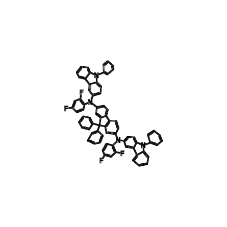 Fc1ccc(N(c2ccc3c(c2)C(c2ccccc2)(c2ccccc2)c2cc(N(c4ccc5c(c4)c4ccccc4n5-c4ccccc4)c4ccc(F)cc4F)ccc2-3)c2ccc3c(c2)c2ccccc2n3-c2ccccc2)c(F)c1